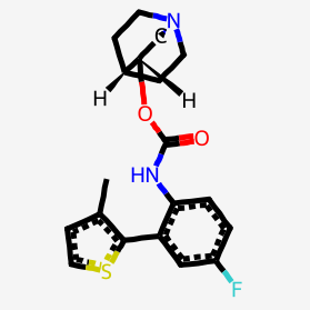 Cc1ccsc1-c1cc(F)ccc1NC(=O)O[C@H]1C[N@]2CC[C@H]1CC2